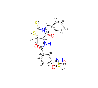 CC1(C)SC(=S)N(Cc2ccccc2)C(=O)C1NC(=O)c1cccc(NS(C)(=O)=O)c1